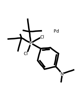 CN(C)c1ccc(P(Cl)(Cl)(C(C)(C)C)C(C)(C)C)cc1.[Pd]